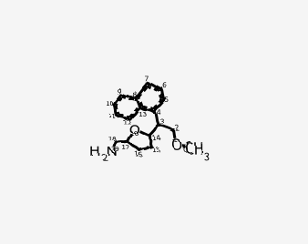 COCC(c1cccc2ccccc12)C1CCC(CN)O1